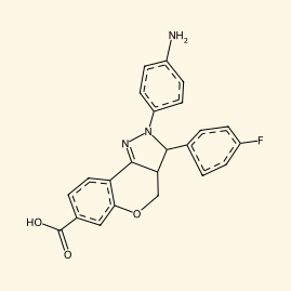 Nc1ccc(N2N=C3c4ccc(C(=O)O)cc4OCC3C2c2ccc(F)cc2)cc1